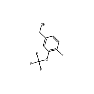 OCc1ccc(F)c(OC(F)(F)F)c1